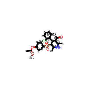 CCOC(C)Oc1ccc(S(=O)(=O)C2=C(C)NC(C)=C(C(=O)OC)C2c2ccccc2Cl)cc1